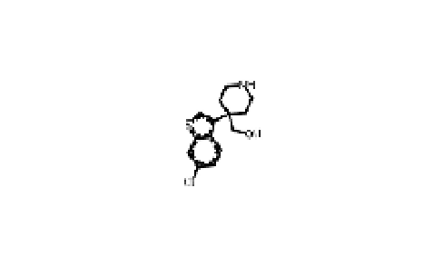 OCC1(c2csc3cc(Cl)ccc23)CCNCC1